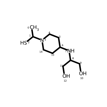 CC(S)N1CCC(NC(CO)CO)CC1